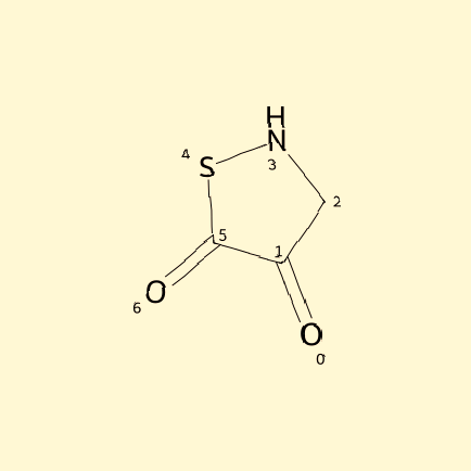 O=C1CNSC1=O